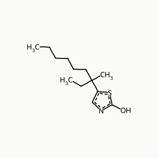 CCCCCCC(C)(CC)c1cnc(O)s1